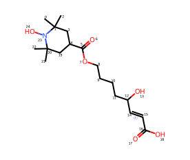 CC1(C)CC(C(=O)OCCCCC(O)/C=C/C(=O)O)CC(C)(C)N1O